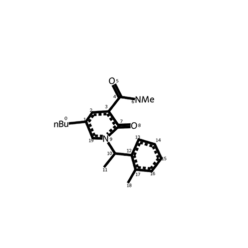 [CH2]CCCc1cc(C(=O)NC)c(=O)n(C(C)c2ccccc2C)c1